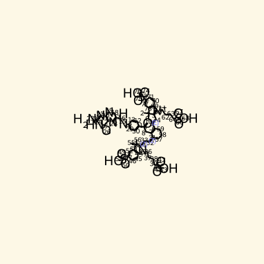 CC1(C)C(/C=C/C2=C(CC(=O)c3ccc(NCc4cnc5nc(N)[nH]c(=O)c5n4)cc3)C(=C\C=C3/N(CCCCS(=O)(=O)O)c4ccc(S(=O)(=O)O)cc4C3(C)C)/CCC2)=[N+](CCCCS(=O)(=O)O)c2ccc(S(=O)(=O)O)cc21